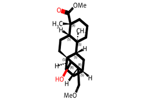 COC[C@H]1[C@H]2CC[C@@]3(CC[C@H]4[C@@](C)(CCC[C@@]4(C)C(=O)OC)[C@@H]3C2)[C@@H]1O